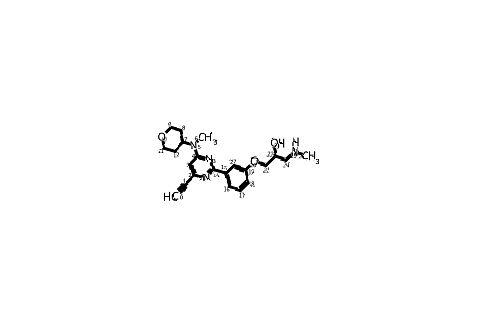 C#Cc1cc(N(C)C2CCOCC2)nc(-c2cccc(OCC(O)CNC)c2)n1